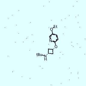 CCOc1ccc(O[C@H]2C[C@@H](NC(C)(C)C)C2)nc1